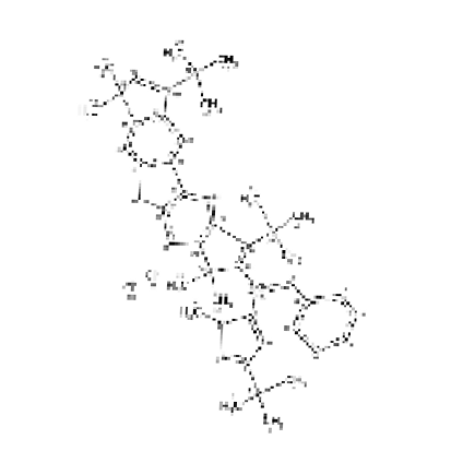 CC1C=C(C(C)(C)C)C=[C]1[Zr+2](=[CH]c1ccccc1)[C]1=C(C(C)(C)C)c2cc3c(cc2C1(C)C)Cc1cc2c(cc1-3)C(C(C)(C)C)=CC2(C)C.[Cl-].[Cl-]